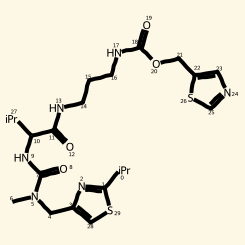 CC(C)c1nc(CN(C)C(=O)NC(C(=O)NCCCNC(=O)OCc2cncs2)C(C)C)cs1